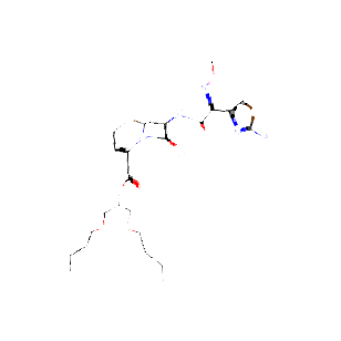 CCCCOCC(COCCCC)OC(=O)C1=CCS[C@H]2C(NC(=O)C(=NOC)c3csc(N)n3)C(=O)N12